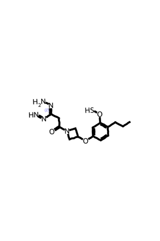 CCCc1ccc(OC2CN(C(=O)C/C(N=N)=N/N)C2)cc1OS